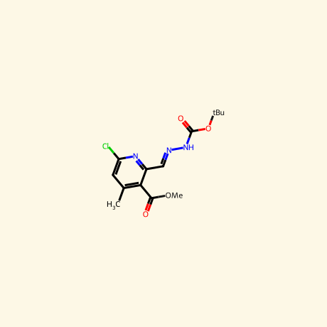 COC(=O)c1c(C)cc(Cl)nc1/C=N/NC(=O)OC(C)(C)C